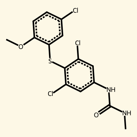 CNC(=O)Nc1cc(Cl)c(Sc2cc(Cl)ccc2OC)c(Cl)c1